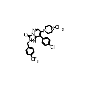 CN1CCN(c2cnn3c(=O)n(Cc4ccc(C(F)(F)F)cc4)nc3c2-c2ccc(Cl)cc2)CC1